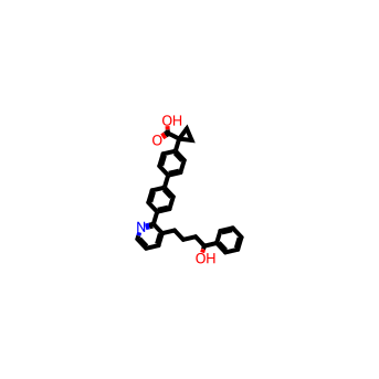 O=C(O)C1(c2ccc(-c3ccc(-c4ncccc4CCCC(O)c4ccccc4)cc3)cc2)CC1